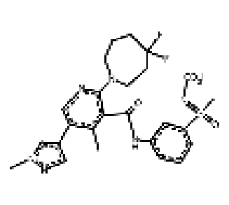 Cc1c(-c2cnn(C)c2)cnc(N2CCCC(F)(F)CC2)c1C(=O)Nc1cccc(S(C)(=O)=NC(=O)O)c1